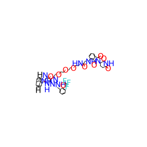 N#Cc1cnc(NCc2ccccc2OC(F)(F)F)nc1NCC12CC3C[C@H](C1)C(NCCOCCOCCOCCOCCNC(=O)CNc1cccc4c1C(=O)N(C1CCC(=O)NC1=O)C4=O)[C@@H](C3)C2